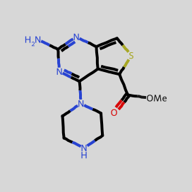 COC(=O)c1scc2nc(N)nc(N3CCNCC3)c12